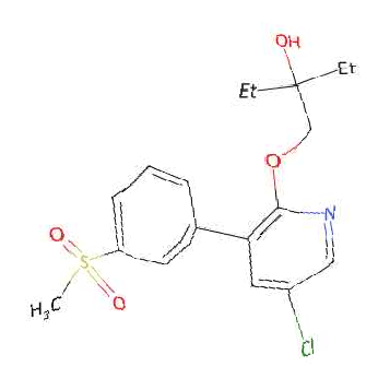 CCC(O)(CC)COc1ncc(Cl)cc1-c1cccc(S(C)(=O)=O)c1